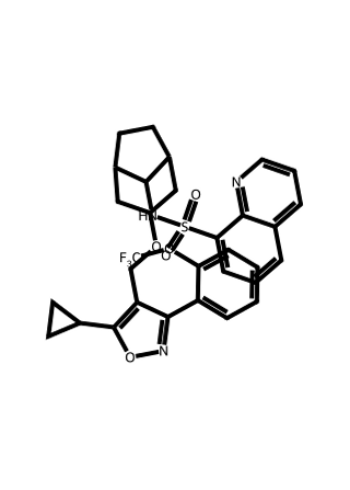 O=S(=O)(NC1C2CCC1CC(OCc1c(-c3ccccc3OC(F)(F)F)noc1C1CC1)C2)c1cccc2cccnc12